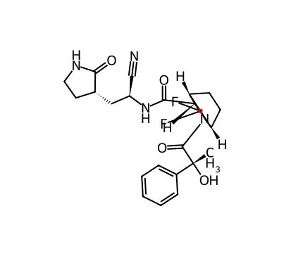 C[C@](O)(C(=O)N1[C@H]2CC[C@@H]([C@H]1C(=O)N[C@H](C#N)C[C@@H]1CCNC1=O)C(F)(F)C2)c1ccccc1